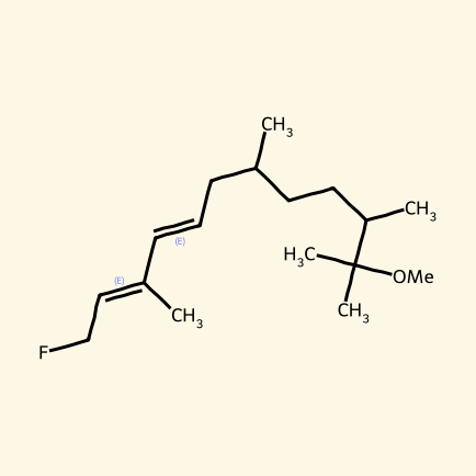 COC(C)(C)C(C)CCC(C)C/C=C/C(C)=C/CF